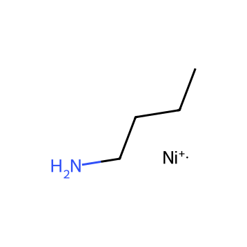 CCCCN.[Ni+]